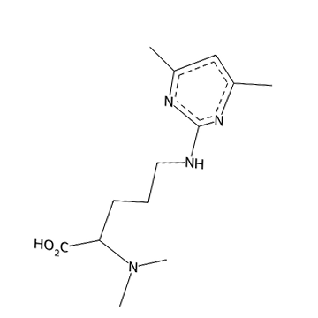 Cc1cc(C)nc(NCCCC(C(=O)O)N(C)C)n1